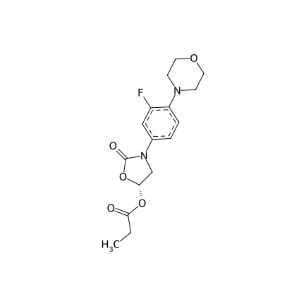 CCC(=O)O[C@H]1CN(c2ccc(N3CCOCC3)c(F)c2)C(=O)O1